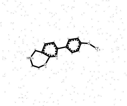 FC(F)(F)Oc1ccc(-c2ccc3c(n2)OCCNC3)cc1